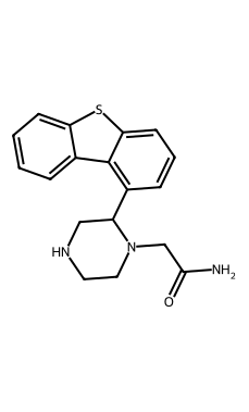 NC(=O)CN1CCNCC1c1cccc2sc3ccccc3c12